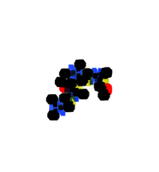 c1ccc(-c2nc(-c3cccc(-c4cccc5oc6c(-c7nc(-c8cccc9c8sc8cccc(-c%10nc(-c%11ccccc%11)nc(-c%11ccccc%11)n%10)c89)nc8c7sc7ccccc78)cccc6c45)c3)nc(-c3cccc4sc5c(-c6nc(-c7ccc8c(c7)oc7ccccc78)c7sc8ccccc8c7n6)cccc5c34)n2)cc1